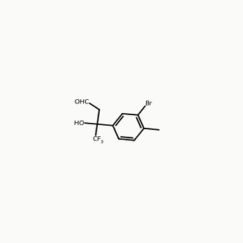 Cc1ccc(C(O)(CC=O)C(F)(F)F)cc1Br